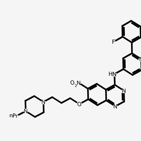 CCCN1CCN(CCCOc2cc3ncnc(Nc4ccnc(-c5ccccc5F)c4)c3cc2[N+](=O)[O-])CC1